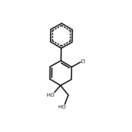 OCC1(O)C=CC(c2ccccc2)=C(Cl)C1